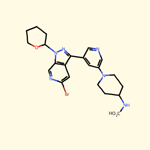 O=C(O)NC1CCN(c2cncc(-c3nn(C4CCCCO4)c4cnc(Br)cc34)c2)CC1